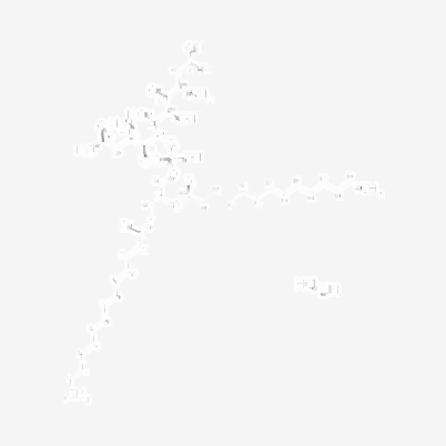 CCCCCCCCCCCCCC(=O)OC[C@H](COP(=O)(O)O[C@H](C(=O)C(N)CC(=O)O)[C@@H](O)[C@H](O)C(=O)C(N)CC(=O)O)OC(=O)CCCCCCCCCCCCC.Cl.Cl